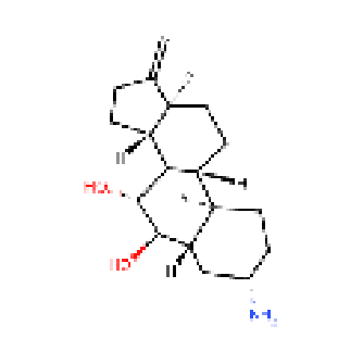 C=C1CC[C@H]2C3[C@@H](O)[C@H](O)[C@H]4C[C@@H](N)CC[C@]4(C)[C@H]3CC[C@]12C